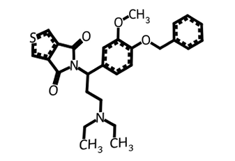 CCN(CC)CCC(c1ccc(OCc2ccccc2)c(OC)c1)N1C(=O)c2cscc2C1=O